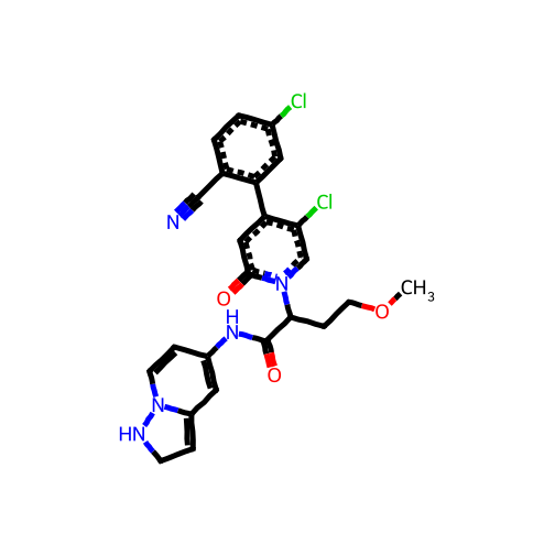 COCCC(C(=O)NC1=CC2=CCNN2C=C1)n1cc(Cl)c(-c2cc(Cl)ccc2C#N)cc1=O